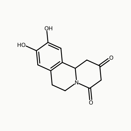 O=C1CC(=O)N2CCc3cc(O)c(O)cc3C2C1